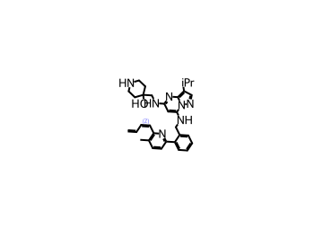 C=C/C=C\c1nc(-c2ccccc2CNc2cc(NCC3(O)CCNCC3)nc3c(C(C)C)cnn23)ccc1C